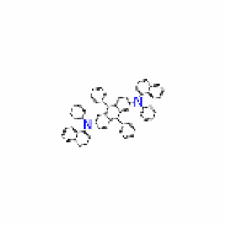 C1=CC(N(c2ccc3c(-c4ccccc4)c4cc(N(c5ccccc5)c5cccc6ccccc56)ccc4c(-c4ccccc4)c3c2)c2cccc3ccccc23)=CCC1